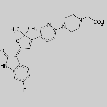 CC1(C)OC(=C2C(=O)Nc3cc(F)ccc32)C=C1c1ccc(N2CCN(CC(=O)O)CC2)nc1